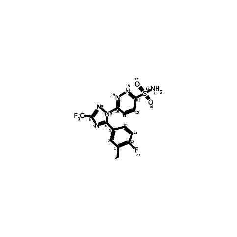 Cc1cc(-c2nc(C(F)(F)F)nn2-c2ccc(S(N)(=O)=O)nn2)ccc1F